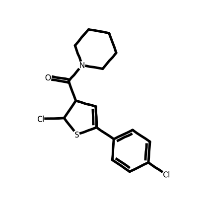 O=C(C1C=C(c2ccc(Cl)cc2)SC1Cl)N1CCCCC1